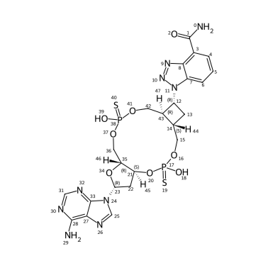 NC(=O)c1cccc2c1nnn2[C@@H]1C[C@@H]2COP(O)(=S)O[C@H]3C[C@H](n4cnc5c(N)ncnc54)O[C@@H]3COP(O)(=S)OC[C@H]21